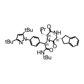 CC(C)C[C@@H]1C(=O)N[C@H](C2Cc3ccccc3C2)C(=O)N1[C@@H](C(=O)NC(C)(C)C)c1ccc(-n2nc(C(C)(C)C)cc2C(C)(C)C)cc1